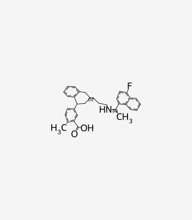 Cc1ccc(C2C[C@H](CCCN[C@H](C)c3ccc(F)c4ccccc34)Cc3ccccc32)cc1C(=O)O